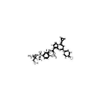 Cc1ccc(S(=O)(=O)NC(C)(C)CO)cc1NC(=O)c1cnn2c(C3CC3)cc(-c3ccc(Cl)cc3)nc12